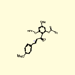 CCCOc1cc(OC)cc(OC(=O)CC)c1C(=O)/C=C/c1ccc(OC)cc1